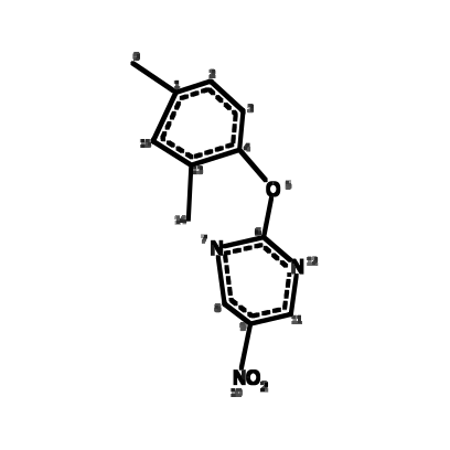 Cc1ccc(Oc2ncc([N+](=O)[O-])cn2)c(C)c1